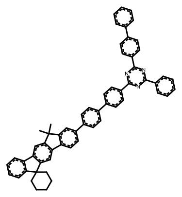 CC1(C)c2cc(-c3ccc(-c4ccc(-c5nc(-c6ccccc6)nc(-c6ccc(-c7ccccc7)cc6)n5)cc4)cc3)ccc2-c2cc3c(cc21)-c1ccccc1C31CCCCC1